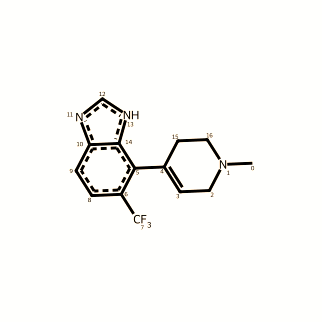 CN1CC=C(c2c(C(F)(F)F)ccc3nc[nH]c23)CC1